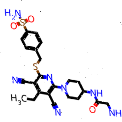 CCc1c(C#N)c(SCc2ccc(S(N)(=O)=O)cc2)nc(N2CCC(NC(=O)CN)CC2)c1C#N